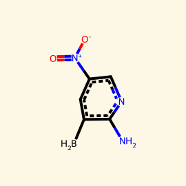 Bc1cc([N+](=O)[O-])cnc1N